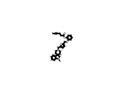 CC#CCCC(=O)Oc1ccccc1OCc1ccc(CN2CCC3(CC2)CN(C)c2ccccc23)o1